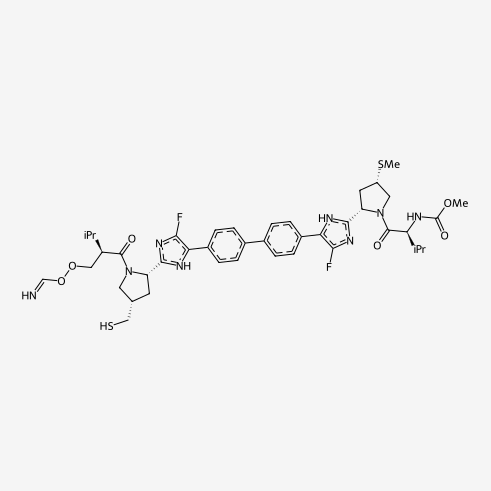 COC(=O)N[C@H](C(=O)N1C[C@@H](SC)C[C@H]1c1nc(F)c(-c2ccc(-c3ccc(-c4[nH]c([C@@H]5C[C@H](CS)CN5C(=O)[C@@H](COOC=N)C(C)C)nc4F)cc3)cc2)[nH]1)C(C)C